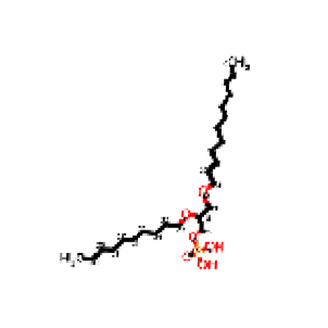 CCCCCCCCCCCCOCC(COP(=O)(O)O)OCCCCCCCCCC